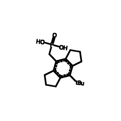 CC(C)(C)c1c2c(c(CP(=O)(O)O)c3c1CCC3)CCC2